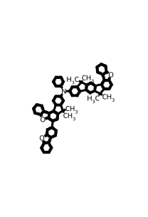 CC1(C)c2cc(N(c3ccccc3)c3ccc4c(c3)C(C)(C)c3cc(-c5ccc6c(c5)oc5ccccc56)c5oc6ccccc6c5c3-4)ccc2-c2cc3c(cc21)-c1c(ccc2oc4ccccc4c12)C3(C)C